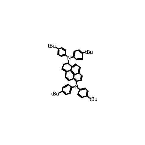 CC(C)(C)c1ccc(N(c2ccc(C(C)(C)C)cc2)c2ccc3ccc4c5c(ccc2c35)=CCC4N(c2ccc(C(C)(C)C)cc2)c2ccc(C(C)(C)C)cc2)cc1